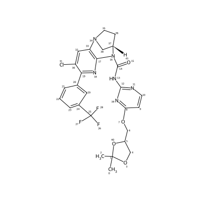 CC1(C)OCC(COc2ccnc(NC(=O)N3c4nc(-c5cccc(C(F)(F)F)c5)c(Cl)cc4N4CC[C@H]3C4)n2)O1